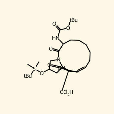 CC(C)(C)OC(=O)NC1CCCCCC=CC2CC(C(=O)O)NC(=O)C23CC(O[Si](C)(C)C(C)(C)C)CN3C1=O